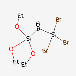 CCO[Si](B[Si](Br)(Br)Br)(OCC)OCC